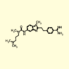 CN(C)CCCN(C)C(=O)Nc1ccc2c(c1)nc(CCc1ccc(C(=N)N)cc1)n2C